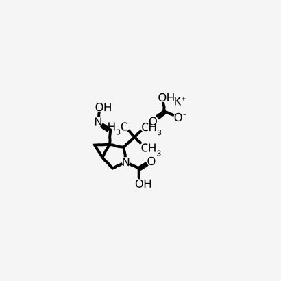 CC(C)(C)C1N(C(=O)O)CC2CC21C=NO.O=C([O-])O.[K+]